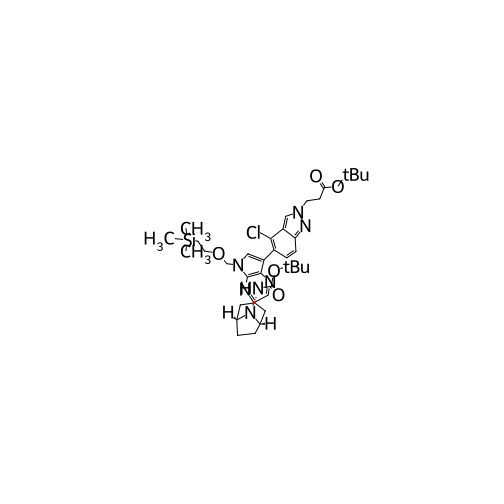 CC(C)(C)OC(=O)CCn1cc2c(Cl)c(-c3cn(COCC[Si](C)(C)C)c4nc(N5[C@@H]6CC[C@H]5C[C@@H](NC(=O)OC(C)(C)C)C6)cnc34)ccc2n1